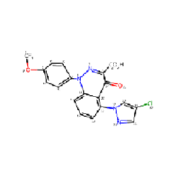 O=C(O)c1nn(-c2ccc(OC(F)(F)F)cc2)c2cccc(-n3cc(Cl)cn3)c2c1=O